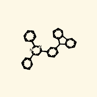 c1ccc(-c2cc(-c3cccc(C4c5ccccc5-c5ccccc54)c3)nc(-c3ccccc3)n2)cc1